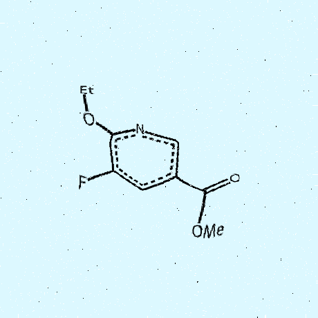 CCOc1ncc(C(=O)OC)cc1F